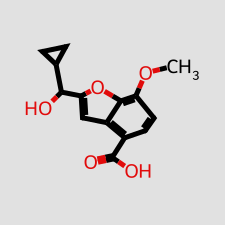 COc1ccc(C(=O)O)c2cc(C(O)C3CC3)oc12